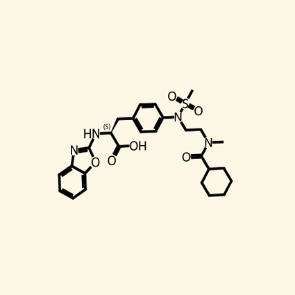 CN(CCN(c1ccc(C[C@H](Nc2nc3ccccc3o2)C(=O)O)cc1)S(C)(=O)=O)C(=O)C1CCCCC1